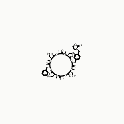 CC(C)C[C@H]1C(=O)O[C@H](Cc2ccc(CN3CCOC3=O)cc2)C(=O)N(C)[C@@H](CC(C)C)C(=O)O[C@H](C)C(=O)N(C)[C@@H](CC(C)C)C(=O)O[C@H](Cc2ccccc2)C(=O)N(C)[C@@H](CC(C)C)C(=O)O[C@H](C)C(=O)N1C